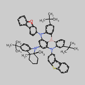 CC(C)(C)c1ccc2c(c1)N(c1ccc3c(c1)oc1ccccc13)c1cc(N3c4ccc(C(C)(C)C)cc4C4(C)CCCCC34C)cc3c1B2c1ccc(C(C)(C)C)cc1N3c1ccc2sc3ccccc3c2c1